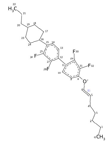 CCCCC/C=C/Oc1ccc(-c2ccc(C3CCC(CCC)CC3)c(F)c2F)c(F)c1F